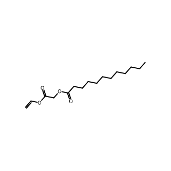 C=COC(=O)COC(=O)CCCCCCCCCCC